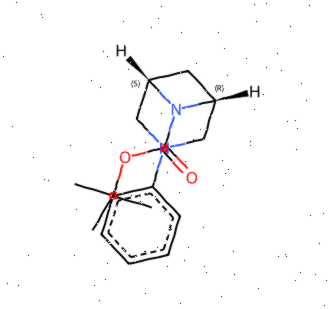 CC(C)(C)OC(=O)N1[C@@H]2C[C@H]1CN(c1ccccc1)C2